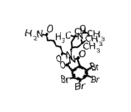 CC(=O)N1C(C)(C)CC(N(C(=O)CCCCC(N)=O)N2C(=O)c3c(Br)c(Br)c(Br)c(Br)c3C2=O)CC1(C)C